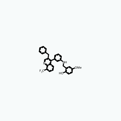 COc1ccc(O)c(CNc2cccc(-c3c(Cc4ccccc4)cnc4c(C(F)(F)F)cccc34)c2)c1